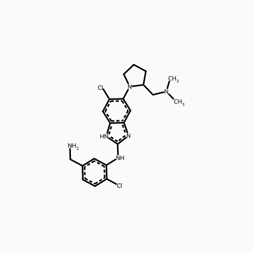 CN(C)CC1CCCN1c1cc2nc(Nc3cc(CN)ccc3Cl)[nH]c2cc1Cl